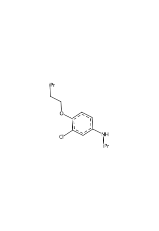 CC(C)CCOc1ccc(NC(C)C)cc1Cl